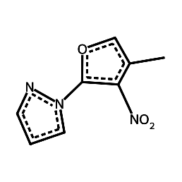 Cc1coc(-n2cccn2)c1[N+](=O)[O-]